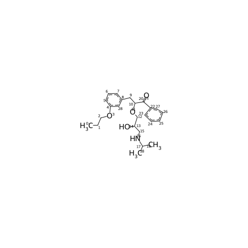 CCCOc1cccc(CC(OCC(O)CNC(C)C)C(=O)c2ccccc2)c1